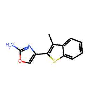 Cc1c(-c2coc(N)n2)sc2ccccc12